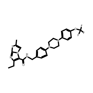 CCc1nc2sc(C)cn2c1C(=O)NCc1ccc(N2CCN(c3ccc(OC(F)(F)F)cc3)CC2)cc1